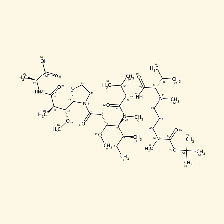 CC[C@H](C)[C@@H]([C@@H](CC(=O)N1CCC[C@H]1[C@H](OC)[C@@H](C)C(=O)N[C@@H](C)C(=O)O)OC)N(C)C(=O)[C@@H](NC(=O)[C@H](C(C)C)N(C)CCCN(C)C(=O)OC(C)(C)C)C(C)C